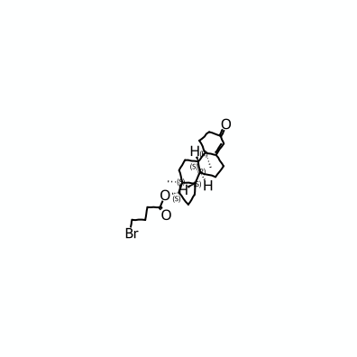 C[C@]12CC[C@H]3[C@@H](CCC4=CC(=O)CC[C@@]43C)[C@@H]1CC[C@@H]2OC(=O)CCCBr